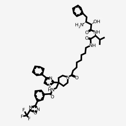 CC(C)[C@H](NC(=O)[C@@H](O)[C@H](N)Cc1ccccc1)C(=O)NCCCCCCCC(=O)N1CCC(CNC(=O)c2cccc(-c3noc(C(F)(F)F)n3)c2)(c2nc(-c3ccccc3)cs2)CC1